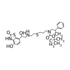 CC(CN(CCCSCCNC[C@H](O)c1ccc(O)c2[nH]c(=O)sc12)C(=O)OC(C)(C)C)c1ccccc1